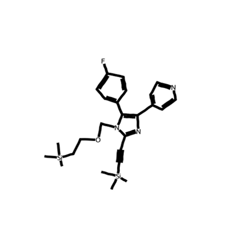 C[Si](C)(C)C#Cc1nc(-c2ccncc2)c(-c2ccc(F)cc2)n1COCC[Si](C)(C)C